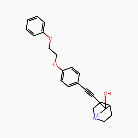 OC1(C#Cc2ccc(OCCOc3ccccc3)cc2)CN2CCC1CC2